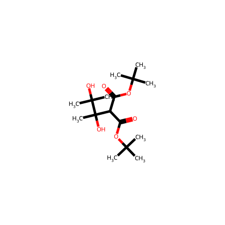 CC(C)(C)OC(=O)C(C(=O)OC(C)(C)C)C(C)(O)C(C)(C)O